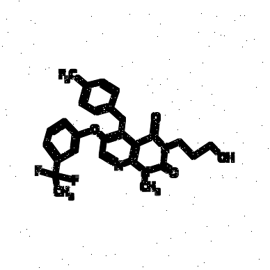 Cn1c(=O)n(CCCO)c(=O)c2c(Cc3ccc(C(F)(F)F)cc3)c(Oc3cccc(C(C)(F)F)c3)cnc21